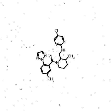 Cc1ccc(-n2nccn2)c(C(=O)N2CCCC(C)C2CNc2ncc(Cl)cn2)c1